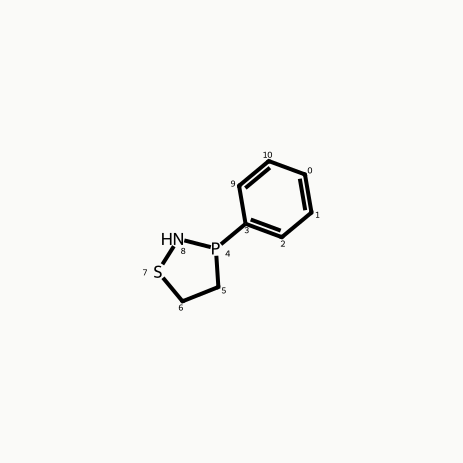 c1ccc(P2CCSN2)cc1